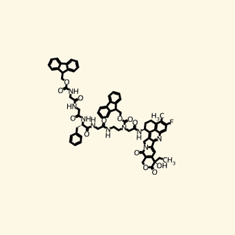 CC[C@@]1(O)C(=O)OCc2c1cc1n(c2=O)Cc2c-1nc1cc(F)c(C)c3c1c2[C@@H](NC(=O)CN(CCNC(=O)CNC(=O)[C@H](Cc1ccccc1)NC(=O)CNC(=O)CNC(=O)OCC1c2ccccc2-c2ccccc21)C(=O)OCC1c2ccccc2-c2ccccc21)CC3